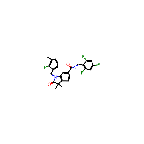 Cc1cccc(CN2C(=O)C(C)(C)c3ccc(C(=O)NCc4c(F)cc(F)cc4F)cc32)c1F